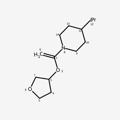 C=C(OC1CCOC1)N1CCC(C(C)C)CC1